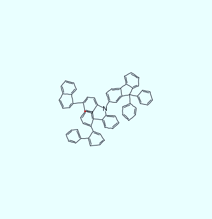 c1ccc(-c2ccccc2-c2ccccc2-c2ccccc2N(c2ccc(-c3cccc4ccccc34)cc2)c2ccc3c(c2)C(c2ccccc2)(c2ccccc2)c2ccccc2-3)cc1